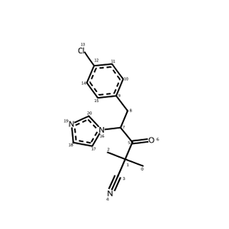 CC(C)(C#N)C(=O)C(Cc1ccc(Cl)cc1)n1ccnc1